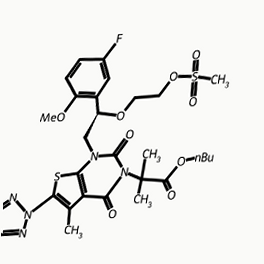 CCCCOC(=O)C(C)(C)n1c(=O)c2c(C)c(-n3nccn3)sc2n(C[C@H](OCCOS(C)(=O)=O)c2cc(F)ccc2OC)c1=O